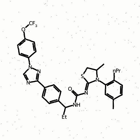 CCCc1ccc(C)cc1N1/C(=N/C(=O)NC(CC)c2ccc(-c3ncn(-c4ccc(OC(F)(F)F)cc4)n3)cc2)SCC1C